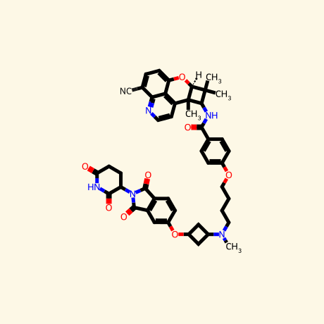 CN(CCCCOc1ccc(C(=O)NC2C(C)(C)[C@@H]3Oc4ccc(C#N)c5nccc(c45)C23C)cc1)C1CC(Oc2ccc3c(c2)C(=O)N(C2CCC(=O)NC2=O)C3=O)C1